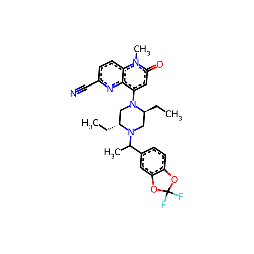 CC[C@H]1CN(C(C)c2ccc3c(c2)OC(F)(F)O3)[C@H](CC)CN1c1cc(=O)n(C)c2ccc(C#N)nc12